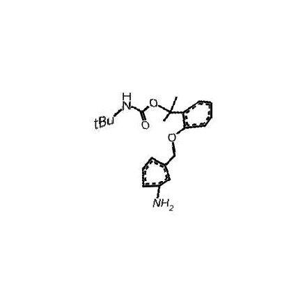 CC(C)(C)NC(=O)OC(C)(C)c1ccccc1OCc1cccc(N)c1